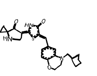 O=C1/C(=c2\[nH]c(=O)/c(=C/c3ccc4c(c3)N(CC3CCC3)CCO4)s2)CNC12CC2